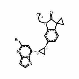 O=C1N(CC(F)(F)F)c2cc([C@H]3C[C@@H]3c3cc(Br)nc4ccnn34)ccc2C12CC2